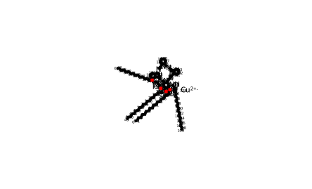 CCCCCCCCCCCCCCCCCCS(=O)(=O)Nc1c(NS(=O)(=O)CCCCCCCCCCCCCCCCCC)c(NS(=O)(=O)CCCCCCCCCCCCCCCCCC)c2c3nc4nc(nc5[nH]c(nc6nc(nc([nH]3)c2c1NS(=O)(=O)CCCCCCCCCCCCCCCCCC)-c1ccccc1-6)c1ccccc51)-c1ccccc1-4.[Cu+2]